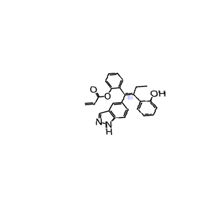 C=CC(=O)Oc1ccccc1/C(=C(\CC)c1ccccc1O)c1ccc2[nH]ncc2c1